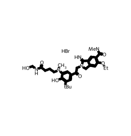 Br.CCOc1cc2c(cc1C(=O)NC)C(=N)N(CC(=O)c1cc(N(C)CCCC(=O)NCO)c(O)c(C(C)(C)C)c1)C2